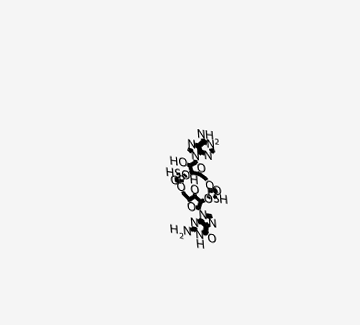 Nc1nc2c(ncn2C2OC3COP(=O)(S)OC4C(COP(=O)(S)OC2C3O)OC(n2cnc3c(N)ncnc32)C4O)c(=O)[nH]1